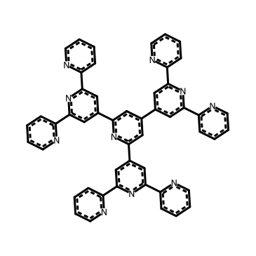 c1ccc(-c2cc(-c3cc(-c4cc(-c5ccccn5)nc(-c5ccccn5)c4)nc(-c4cc(-c5ccccn5)nc(-c5ccccn5)c4)c3)cc(-c3ccccn3)n2)nc1